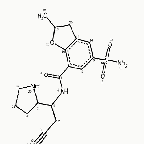 C#CCC(NC(=O)c1cc(S(N)(=O)=O)cc2c1OC(C)C2)C1CCCN1